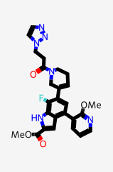 COC(=O)c1cc2c(-c3cccnc3OC)cc(C3=CCCN(C(=O)CCn4ccnn4)C3)c(F)c2[nH]1